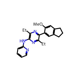 CCc1nc(-c2cc3c(cc2OC)CCC3)c(CC)nc1Nc1ccccn1